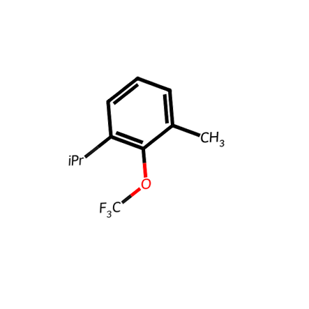 [CH2]C(C)c1cccc(C)c1OC(F)(F)F